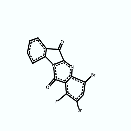 O=C1c2ccccc2-n2c1nc1c(Br)cc(Br)c(F)c1c2=O